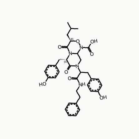 CC(C)C[C@H]1ON(C(=O)O)C2CN(C(Cc3ccc(O)cc3)C(=O)NCCc3ccccc3)C(=O)[C@H](Cc3ccc(O)cc3)N2C1=O